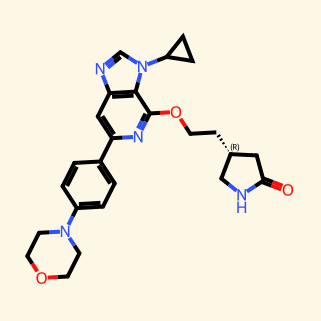 O=C1C[C@@H](CCOc2nc(-c3ccc(N4CCOCC4)cc3)cc3ncn(C4CC4)c23)CN1